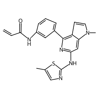 C=CC(=O)Nc1cccc(-c2nc(Nc3ncc(C)s3)cc3c2ccn3C)c1